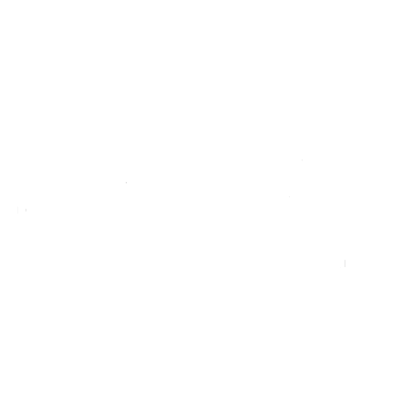 CCCCCOCOC=CCCC(OCCCC)OCCCC